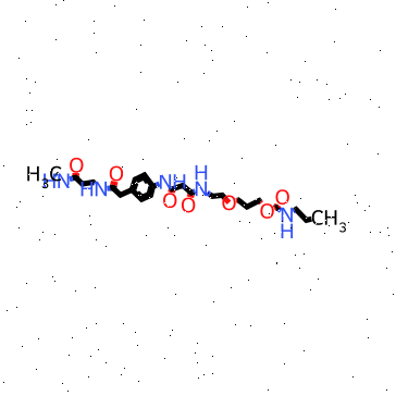 CCCNC(=O)OCCCOCCNC(=O)CC(=O)Nc1ccc(CC(=O)NCCC(=O)NC)cc1